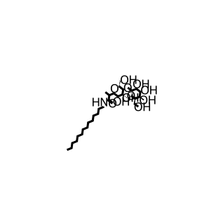 CCCCCCCCCCCCCCNC(=O)C(C)C1O[C@H](CO)[C@@H](OC2O[C@H](CO)[C@H](O)[C@H](O)[C@H]2O)[C@H](O)[C@H]1O